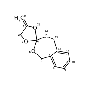 C=C1COC2(OCc3ccccc3CO2)O1